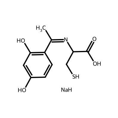 C/C(=N/C(CS)C(=O)O)c1ccc(O)cc1O.[NaH]